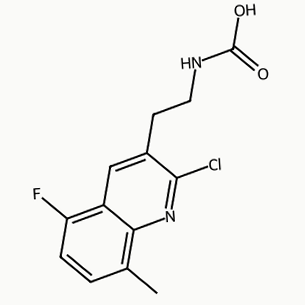 Cc1ccc(F)c2cc(CCNC(=O)O)c(Cl)nc12